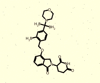 Bc1cc(C(B)(B)N2CCOCC2)ccc1COc1cccc2c1CN(C1CCC(=O)NC1=O)C2=O